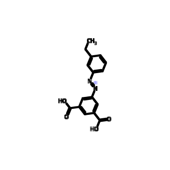 CCc1cccc(/N=N/c2cc(C(=O)O)cc(C(=O)O)c2)c1